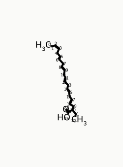 CC/C=C\C/C=C/C/C=C/C/C=C/C/C=C/C/C=C/CC(CC)C(=O)O